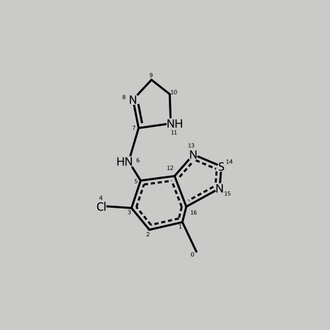 Cc1cc(Cl)c(NC2=NCCN2)c2nsnc12